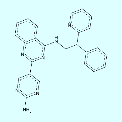 Nc1ncc(-c2nc(NCC(c3ccccc3)c3ccccn3)c3ccccc3n2)cn1